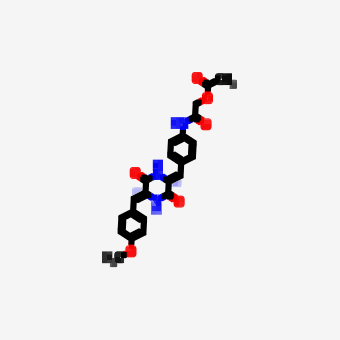 COc1ccc(/C=c2\[nH]c(=O)/c(=C/c3ccc(NC(=O)COC(C)=O)cc3)[nH]c2=O)cc1